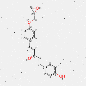 O=C(C=Cc1ccc(O)cc1)C=Cc1ccc(OCC2CO2)cc1